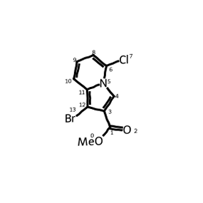 COC(=O)c1cn2c(Cl)cccc2c1Br